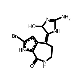 NC1=NC(O)C(=C2CCNC(=O)c3[nH]c(Br)cc32)N1